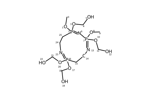 COP1(OCO)=NP(OC)(OCO)=NCCP(OCO)(OCO)=NCC1